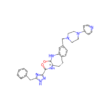 O=C(N[C@@H]1CCc2ccc(CN3CCN(c4ccncc4)CC3)cc2NC1=O)c1n[nH]c(Cc2ccccc2)n1